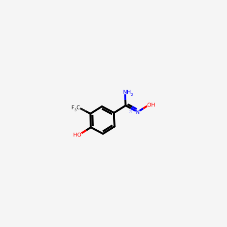 N/C(=N\O)c1ccc(O)c(C(F)(F)F)c1